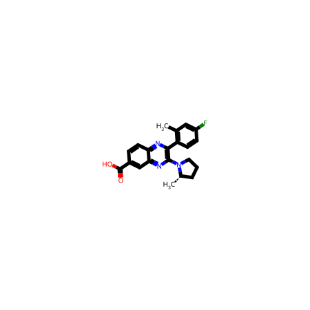 Cc1cc(F)ccc1-c1nc2ccc(C(=O)O)cc2nc1N1CCC[C@@H]1C